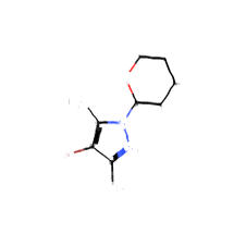 Cc1c(Br)c(C=O)nn1C1CCCCO1